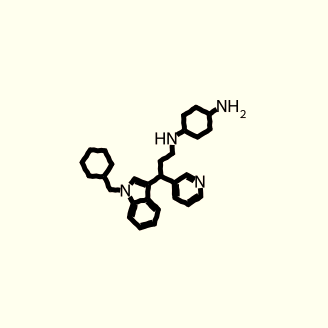 NC1CCC(NCCC(c2cccnc2)c2cn(CC3CCCCC3)c3ccccc23)CC1